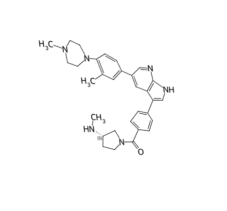 CN[C@H]1CCN(C(=O)c2ccc(-c3c[nH]c4ncc(-c5ccc(N6CCN(C)CC6)c(C)c5)cc34)cc2)C1